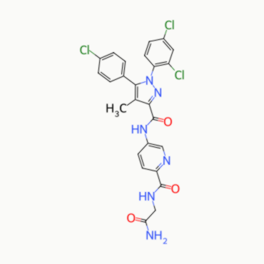 Cc1c(C(=O)Nc2ccc(C(=O)NCC(N)=O)nc2)nn(-c2ccc(Cl)cc2Cl)c1-c1ccc(Cl)cc1